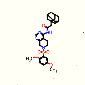 COc1ccc(OC)c(S(=O)(=O)N2CCc3c(ncnc3NC(=O)CC34CC5CC(CC(C5)C3)C4)C2)c1